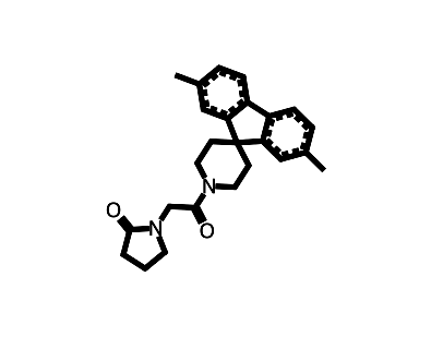 Cc1ccc2c(c1)C1(CCN(C(=O)CN3CCCC3=O)CC1)c1cc(C)ccc1-2